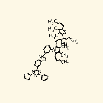 C=C/C=C\c1sc(/C(=C\C=C)C(=C)/C=C\c2c(C)c(C)c(/C=C\C=C)n2-c2cccc(-c3nc4ccc(-c5nc(-c6ccccc6)nc(-c6ccccc6)n5)cc4o3)c2)c(C)c1C